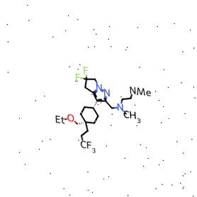 CCOC[C@]1(CCC(F)(F)F)CC[C@H](c2c(CN(C)CCNC)nn3c2CC(F)(F)C3)CC1